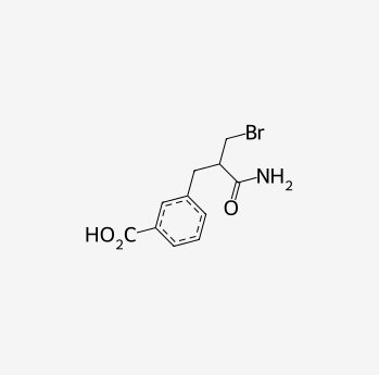 NC(=O)C(CBr)Cc1cccc(C(=O)O)c1